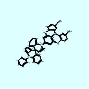 CC(C)(C)c1ccc2c(c1)B1c3cc(C(C)(C)C)ccc3Oc3cc(N4c5ccccc5C5(c6ccccc6N(c6ccccc6)c6ccccc65)c5ccccc54)cc(c31)O2